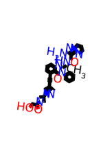 CC(NC(=O)c1c(N)nn2cccnc12)c1nc2cccc(C#Cc3cnn(C4CN(C(=O)CO)C4)c3)c2c(=O)n1-c1ccccc1